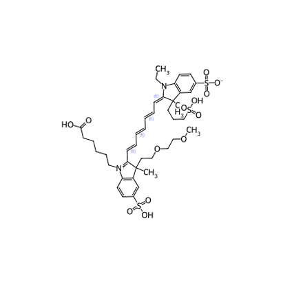 CCN1/C(=C/C=C/C=C/C=C/C2=[N+](CCCCCC(=O)O)c3ccc(S(=O)(=O)O)cc3C2(C)CCOCCOC)C(C)(CCCS(=O)(=O)O)c2cc(S(=O)(=O)[O-])ccc21